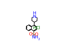 Cl.NS(=O)(=O)c1ccc(C2CCNCC2)c2ccccc12